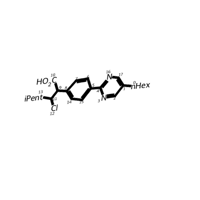 CCCCCCc1cnc(-c2ccc(C(C(=O)O)C(Cl)C(C)CCC)cc2)nc1